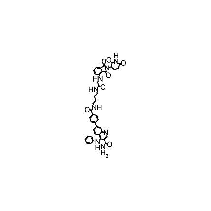 NC(=O)c1cnc2cc(-c3ccc(C(=O)NCCCCNC(=O)CNc4cccc5c4C(=O)N(C4CCC(=O)NC4=O)C5=O)cc3)ccc2c1Nc1ccccc1